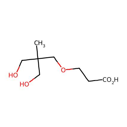 CC(CO)(CO)COCCC(=O)O